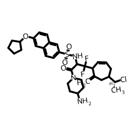 C=C1CC([C@@H](C)Cl)CC=CC1C(F)(F)C(NS(=O)(=O)c1ccc2cc(OC3CCCC3)ccc2c1)C(=O)N1CCC(N)CC1